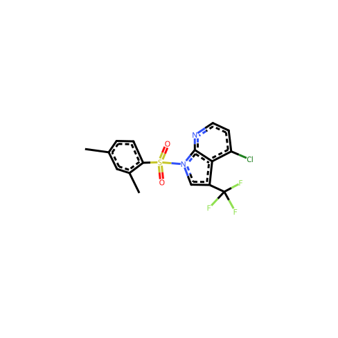 Cc1ccc(S(=O)(=O)n2cc(C(F)(F)F)c3c(Cl)ccnc32)c(C)c1